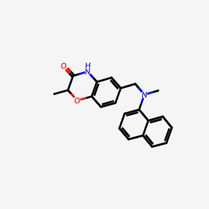 CC1Oc2ccc(CN(C)c3cccc4ccccc34)cc2NC1=O